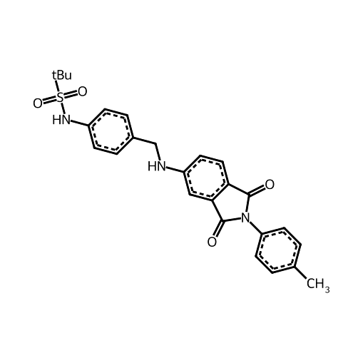 Cc1ccc(N2C(=O)c3ccc(NCc4ccc(NS(=O)(=O)C(C)(C)C)cc4)cc3C2=O)cc1